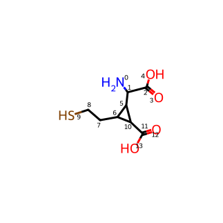 NC(C(=O)O)C1C(CCS)C1C(=O)O